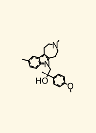 COc1ccc([C@](C)(O)Cn2c3c(c4cc(C)ccc42)CCN(C)CC3)cc1